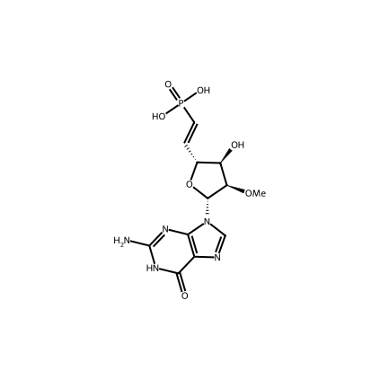 CO[C@@H]1[C@H](O)[C@@H](/C=C/P(=O)(O)O)O[C@H]1n1cnc2c(=O)[nH]c(N)nc21